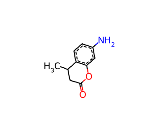 CC1CC(=O)Oc2cc(N)ccc21